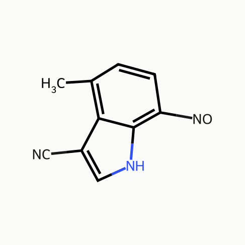 Cc1ccc(N=O)c2[nH]cc(C#N)c12